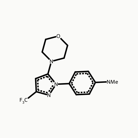 CNc1ccc(-n2nc(C(F)(F)F)cc2N2CCOCC2)cc1